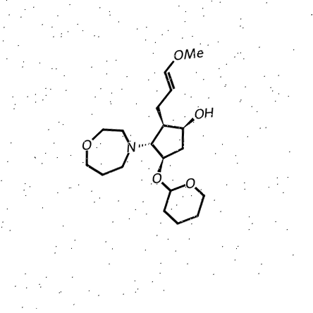 COC=CC[C@@H]1[C@@H](N2CCCOCC2)[C@H](OC2CCCCO2)C[C@@H]1O